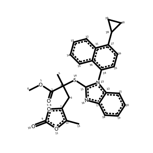 COC(=O)C(C)(Cc1oc(=O)oc1C)Sc1nc2ccccc2n1-c1ccc(C2CC2)c2ccccc12